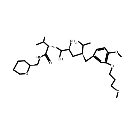 COCCCOc1cc(C[C@@H](C[C@H](N)C(O)C[C@H](C(=O)NC[C@@H]2CCCCO2)C(C)C)C(C)C)ccc1OC